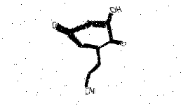 N#CCCC1=CC(=O)C=C(O)C1=O